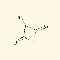 C[CH]C1C(=O)SC1=O